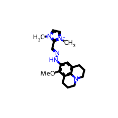 COc1c(N/N=C/c2n(C)cc[n+]2C)cc2c3c1CCCN3CCC2